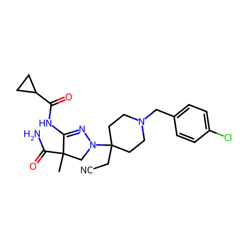 CC1(C(N)=O)CN(C2(CC#N)CCN(Cc3ccc(Cl)cc3)CC2)N=C1NC(=O)C1CC1